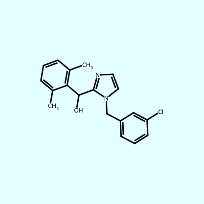 Cc1cccc(C)c1C(O)c1nccn1Cc1cccc(Cl)c1